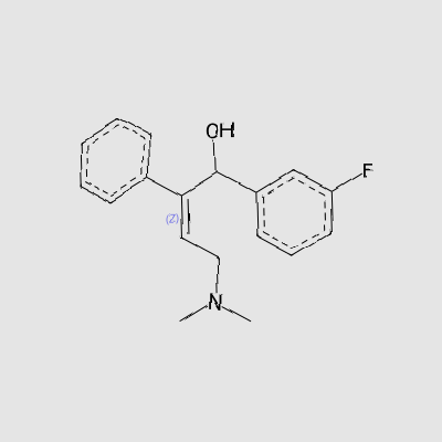 CN(C)C/C=C(/c1ccccc1)C(O)c1cccc(F)c1